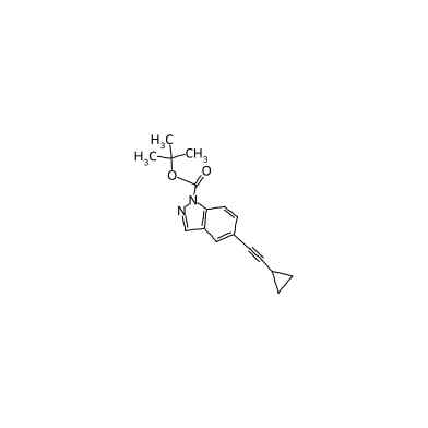 CC(C)(C)OC(=O)n1ncc2cc(C#CC3CC3)ccc21